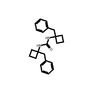 O=C(NC1(Cc2ccccc2)CCC1)NC1(Cc2ccccc2)CCC1